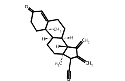 C=C1C(=C)[C@H]2[C@@H]3CCC4=CC(=O)CC[C@]4(C)[C@@H]3CC[C@]2(C)C1C#N